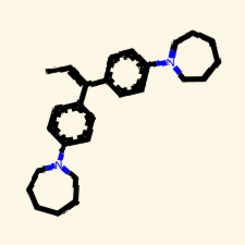 CC=C(c1ccc(N2CCCCCC2)cc1)c1ccc(N2CCCCCC2)cc1